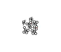 N#Cc1c(-c2ccc3c(c2)N(c2ccccc2)c2ccccc2O3)c(-c2ccc3c(c2)N(c2ccccc2)c2ccccc2O3)nc(-n2c3ccc(C(F)(F)F)cc3c3cc(C(F)(F)F)ccc32)c1-c1ccc2c(c1)N(c1ccccc1)c1ccccc1O2